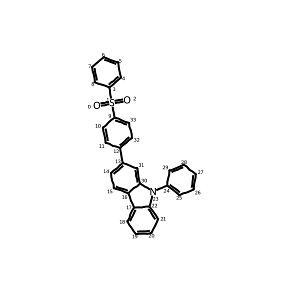 O=S(=O)(c1ccccc1)c1ccc(-c2ccc3c4ccccc4n(-c4ccccc4)c3c2)cc1